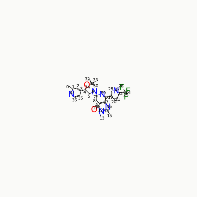 Cc1cc(C2CN(c3cc4c(=O)n(C)c(C)nc4c(-c4ccc(C(F)(F)F)nc4)n3)CC(C)(C)O2)ccn1